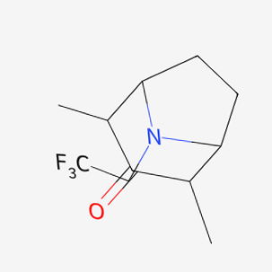 CC1C(=O)C(C)C2CCC1N2CC(F)(F)F